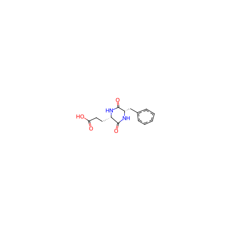 O=C(O)CC[C@@H]1NC(=O)[C@H](Cc2ccccc2)NC1=O